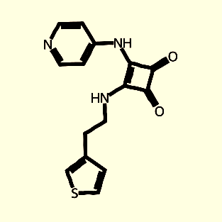 O=c1c(NCCc2ccsc2)c(Nc2ccncc2)c1=O